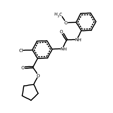 COc1ccccc1NC(=O)Nc1ccc(Cl)c(C(=O)OC2CCCC2)c1